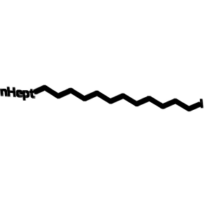 CCCCCCCCCCCCCCCCCCCI